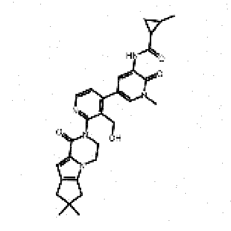 CC1CC1C(=O)Nc1cc(-c2ccnc(N3CCn4c(cc5c4CC(C)(C)C5)C3=O)c2CO)cn(C)c1=O